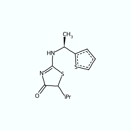 CC(C)C1SC(N[C@@H](C)c2cccs2)=NC1=O